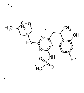 CC(C)C[C@H](CO)Nc1nc(CC(C)c2ccc(F)cc2O)nc(NS(C)(=O)=O)n1